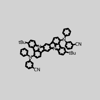 CC(C)(C)c1ccc2c(c1)c1c(N(c3ccccc3)c3cccc(C#N)c3)ccc3c4cc5c(cc4n2c31)c1ccc(N(c2ccccc2)c2cccc(C#N)c2)c2c3cc(C(C)(C)C)ccc3n5c12